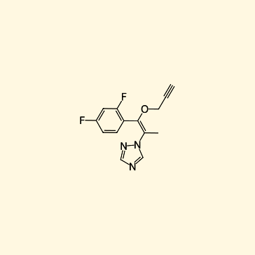 C#CCOC(=C(C)n1cncn1)c1ccc(F)cc1F